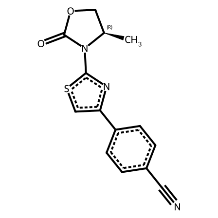 C[C@@H]1COC(=O)N1c1nc(-c2ccc(C#N)cc2)cs1